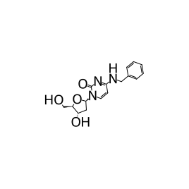 O=c1nc(NCc2ccccc2)ccn1[C@H]1C[C@H](O)[C@@H](CO)O1